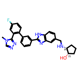 Cn1cnnc1-c1cc(F)ccc1-c1cccc(-c2nc3cc(CN[C@@H]4CCC[C@@H]4O)ccc3[nH]2)c1